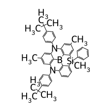 Cc1cc2c3c(c1)N(c1ccc(C(C)(C)C)cc1)c1cc(C)cc4c1B3c1c(cccc1[Si]4(C)c1ccccc1)N2c1ccc(C(C)(C)C)cc1